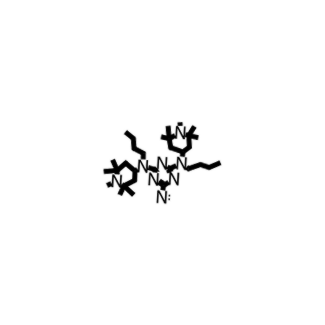 CCCCN(c1nc([N])nc(N(CCCC)C2CC(C)(C)N(C)C(C)(C)C2)n1)C1CC(C)(C)N(C)C(C)(C)C1